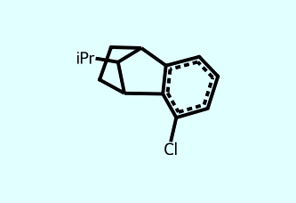 CC(C)C1C2CCC1c1c(Cl)cccc12